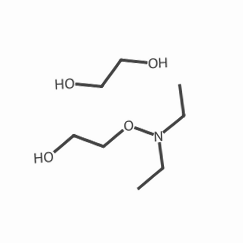 CCN(CC)OCCO.OCCO